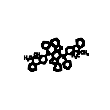 CC1(C)C2=CC(N(c3ccccc3)c3c4oc5ccccc5c4c(N(c4ccccc4)C4C=C5C(=CC4)c4ccccc4C5(C)C)c4oc5ccccc5c34)CC=C2c2cc#ccc21